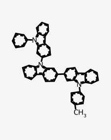 Cc1ccc(-n2c3ccccc3c3ccc(-c4ccc5c6ccccc6n(-c6ccc7c8ccccc8n(-c8ccccc8)c7c6)c5c4)cc32)cc1